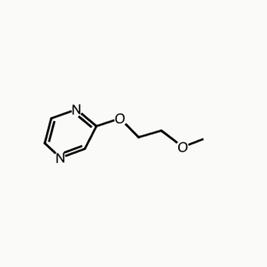 COCCOc1cnccn1